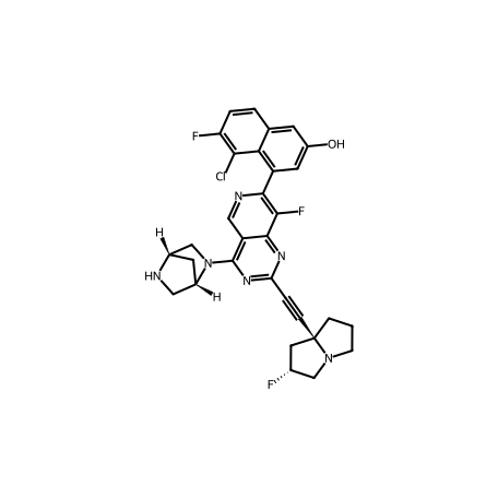 Oc1cc(-c2ncc3c(N4C[C@@H]5C[C@H]4CN5)nc(C#C[C@@]45CCCN4C[C@H](F)C5)nc3c2F)c2c(Cl)c(F)ccc2c1